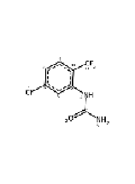 NC(=O)Nc1cc(Cl)ccc1C(F)(F)F